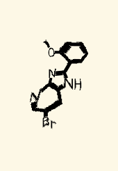 COc1ccccc1-c1nc2ncc(Br)cc2[nH]1